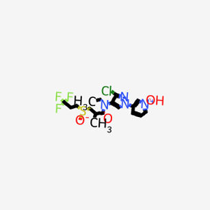 CCN(C(=O)C(C)C[S+]([O-])CCC(F)(F)F)c1cn(-c2ccc[n+](O)c2)nc1Cl